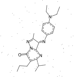 CCCc1c(C(C)C)nc2n(c1=O)N=C(C)C2=Nc1ccc(N(CC)CC)cc1